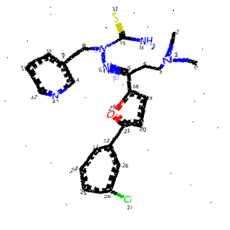 CN(C)CC/C(=N\N(Cc1cccnc1)C(N)=S)c1ccc(-c2cccc(Cl)c2)o1